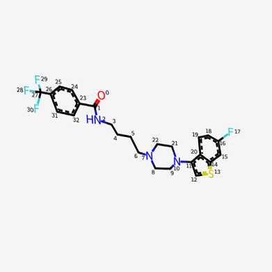 O=C(NCCCCN1CCN(c2csc3cc(F)ccc23)CC1)c1ccc(C(F)(F)F)cc1